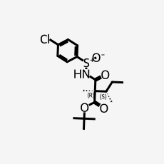 CC[C@H](C)[C@](C)(C(=O)N[S+]([O-])c1ccc(Cl)cc1)C(=O)OC(C)(C)C